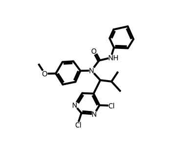 COc1ccc(N(C(=O)Nc2ccccc2)C(c2cnc(Cl)nc2Cl)C(C)C)cc1